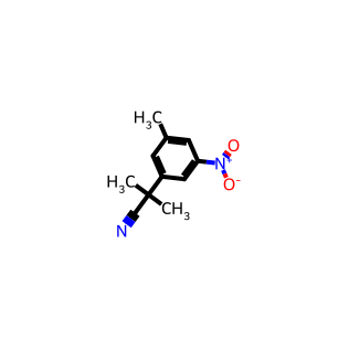 Cc1cc([N+](=O)[O-])cc(C(C)(C)C#N)c1